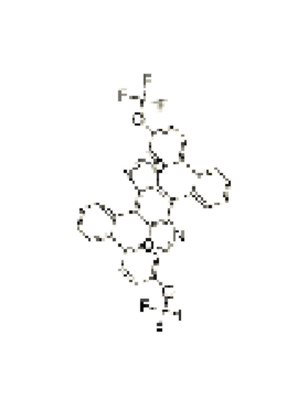 FC(F)(F)Oc1ccc(-c2ccccc2-c2c3ncoc3c(-c3ccccc3-c3ccc(OC(F)(F)F)cc3)c3ncoc23)cc1